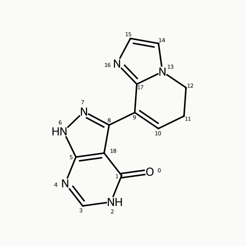 O=c1[nH]cnc2[nH]nc(C3=CCCn4ccnc43)c12